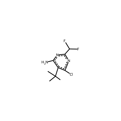 CC(C)(C)c1c(N)nc(C(F)F)nc1Cl